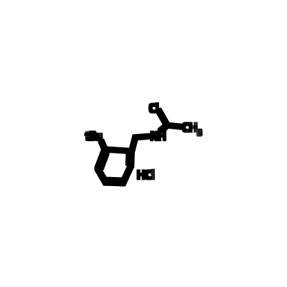 CC(Cl)NCc1ccccc1C(C)(C)C.Cl